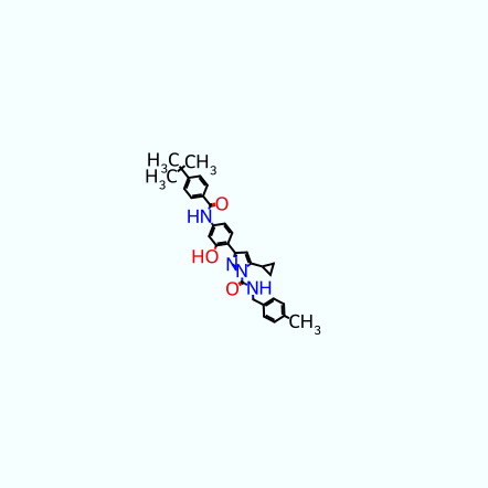 Cc1ccc(CNC(=O)n2nc(-c3ccc(NC(=O)c4ccc(C(C)(C)C)cc4)cc3O)cc2C2CC2)cc1